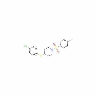 Cc1ccc(S(=O)(=O)N2CCC(Sc3ccc(Cl)cc3)CC2)cc1